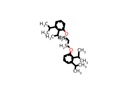 CC(C)c1cccc(O[SiH2]C[SiH2]Oc2cccc(C(C)C)c2C(C)C)c1C(C)C